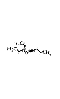 CCCC#CON(CC)CC